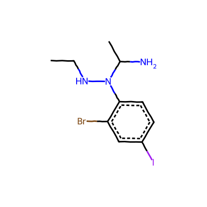 CCNN(c1ccc(I)cc1Br)C(C)N